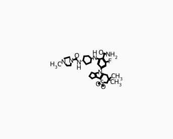 CN1CCN(C(=O)N[C@H]2CC[C@H](Nc3cc(-n4c5c(c6c4CC(C)(C)CS6(=O)=O)CCC5)cc(F)c3C(N)=O)CC2)CC1